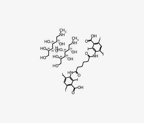 CNC[C@H](O)[C@@H](O)[C@H](O)[C@H](O)CO.CNC[C@H](O)[C@@H](O)[C@H](O)[C@H](O)CO.O=C(CCCCC(=O)Nc1c(I)cc(I)c(C(=O)O)c1I)Nc1c(I)cc(I)c(C(=O)O)c1I